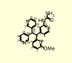 COc1cccc(C(c2ccnc(NC(N)=O)c2)C(c2cccnc2)c2cccnc2)n1